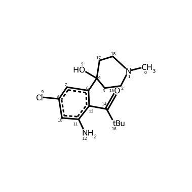 CN1CCC(O)(c2cc(Cl)cc(N)c2C(=O)C(C)(C)C)CC1